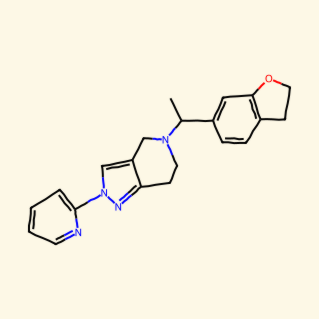 CC(c1ccc2c(c1)OCC2)N1CCc2nn(-c3ccccn3)cc2C1